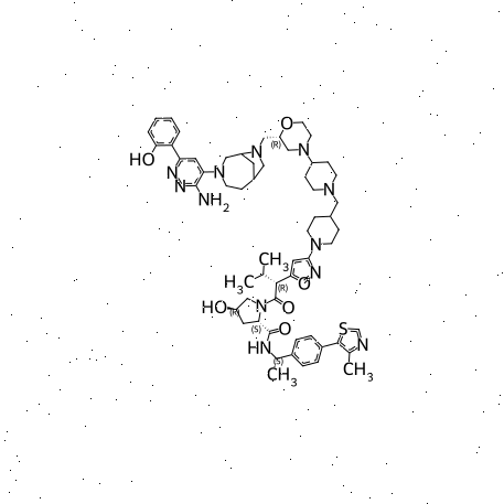 Cc1ncsc1-c1ccc([C@H](C)NC(=O)[C@@H]2C[C@@H](O)CN2C(=O)[C@@H](c2cc(N3CCC(CN4CCC(N5CCO[C@@H](CN6CC7CCN(c8cc(-c9ccccc9O)nnc8N)CC6C7)C5)CC4)CC3)no2)C(C)C)cc1